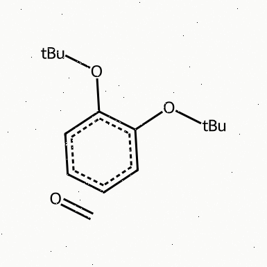 C=O.CC(C)(C)Oc1ccccc1OC(C)(C)C